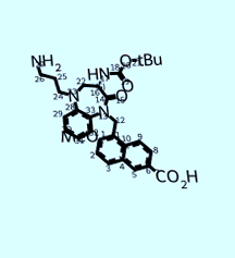 COc1ccc2cc(C(=O)O)ccc2c1CN1C(=O)[C@@H](NC(=O)OC(C)(C)C)CN(CCCN)c2ccccc21